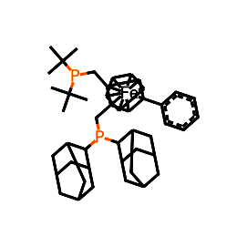 CC(C)(C)P(C[C]12[CH]3[C]4(c5ccccc5)[CH]5[C]1(CP(C1C6CC7CC(C6)CC1C7)C1C6CC7CC(C6)CC1C7)[Fe]53421678[CH]2[CH]1[CH]6[CH]7[CH]28)C(C)(C)C